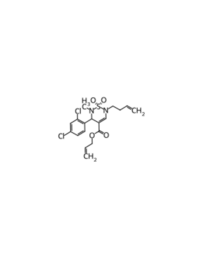 C=CCCN1C=C(C(=O)OCC=C)C(c2ccc(Cl)cc2Cl)N(C)S1(=O)=O